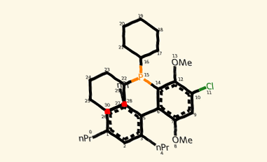 CCCc1cc(CCC)c(-c2c(OC)cc(Cl)c(OC)c2P(C2CCCCC2)C2CCCCC2)c(CCC)c1